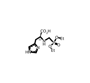 CCOP(=O)(CN[C@@H](Cc1c[nH]cn1)C(=O)O)OCC